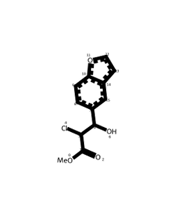 COC(=O)C(Cl)C(O)c1ccc2occc2c1